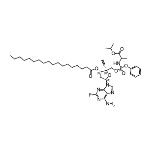 C#C[C@]1(CO[P@@](=O)(NC(C)C(=O)OC(C)C)Oc2ccccc2)O[C@@H](n2cnc3c(N)nc(F)nc32)C[C@@H]1OC(=O)CCCCCCCCCCCCCCCCC